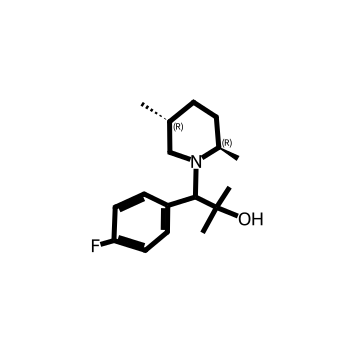 C[C@@H]1CC[C@@H](C)N(C(c2ccc(F)cc2)C(C)(C)O)C1